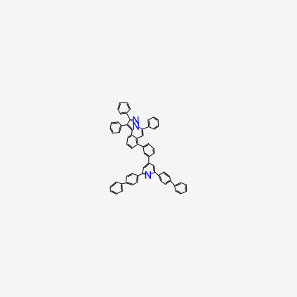 c1ccc(-c2ccc(-c3cc(-c4cccc(-c5cccc6c5cc(-c5ccccc5)n5nc(-c7ccccc7)c(-c7ccccc7)c65)c4)cc(-c4ccc(-c5ccccc5)cc4)n3)cc2)cc1